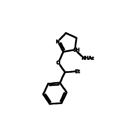 CCC(OC1=NCC[SH]1NC(C)=O)c1ccccc1